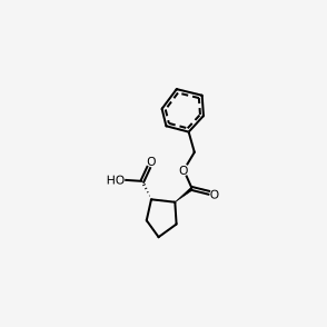 O=C(O)[C@H]1CCC[C@@H]1C(=O)OCc1ccccc1